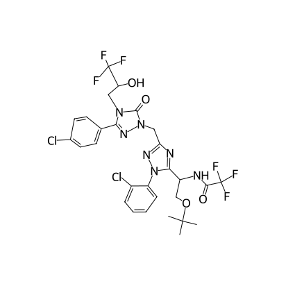 CC(C)(C)OCC(NC(=O)C(F)(F)F)c1nc(Cn2nc(-c3ccc(Cl)cc3)n(CC(O)C(F)(F)F)c2=O)nn1-c1ccccc1Cl